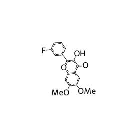 COc1cc2oc(-c3cccc(F)c3)c(O)c(=O)c2cc1OC